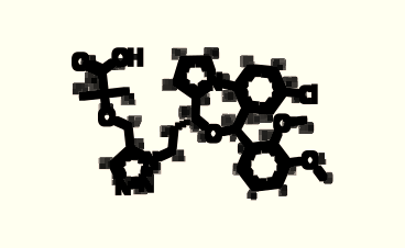 COc1cccc([C@H]2O[C@H](CCn3nncc3COC(C)(C)C(=O)O)c3cccn3-c3ccc(Cl)cc32)c1OC